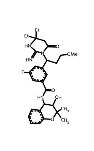 CCC1(CC)CC(=O)N(C(CCOC)c2cc(F)cc(C(=O)NC3c4ccccc4OC(C)(C)C3O)c2)C(=N)N1